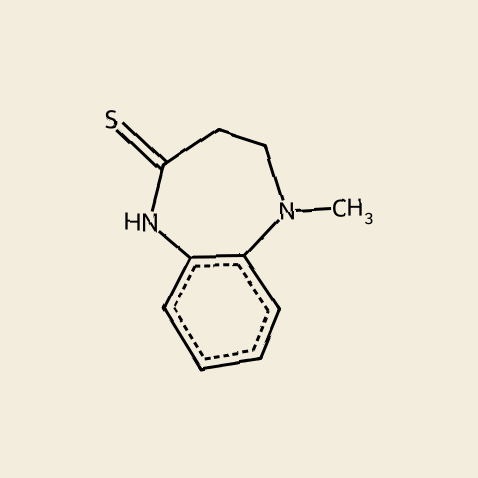 CN1CCC(=S)Nc2ccccc21